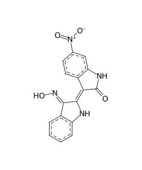 O=C1Nc2cc([N+](=O)[O-])ccc2/C1=C1/Nc2ccccc2/C1=N\O